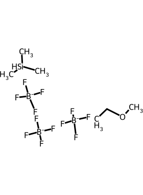 CCOC.C[SiH](C)C.F[B-](F)(F)F.F[B-](F)(F)F.F[B-](F)(F)F